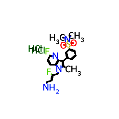 Cc1c(-c2cccc(S(=O)(=O)N(C)C)c2)c2nc(F)ccc2n1CC(F)=CCN.Cl.Cl